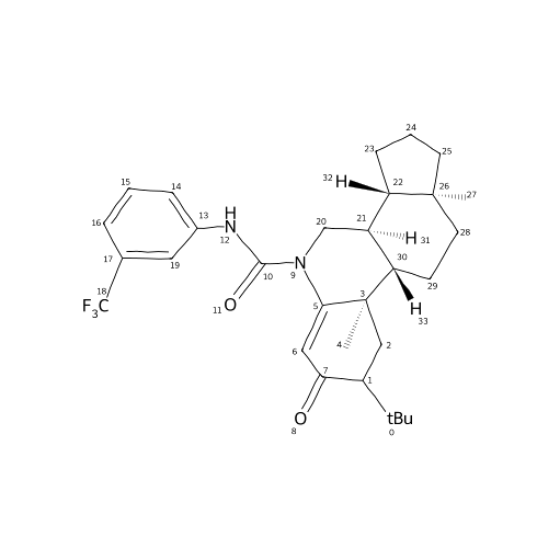 CC(C)(C)C1C[C@@]2(C)C(=CC1=O)N(C(=O)Nc1cccc(C(F)(F)F)c1)C[C@H]1[C@@H]3CCC[C@@]3(C)CC[C@@H]12